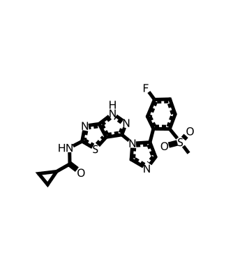 CS(=O)(=O)c1ccc(F)cc1-c1cncn1-c1n[nH]c2nc(NC(=O)C3CC3)sc12